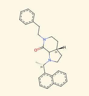 C[C@@H](c1cccc2ccccc12)N1CC[C@H]2CCN(CCc3ccccc3)C(=O)C21